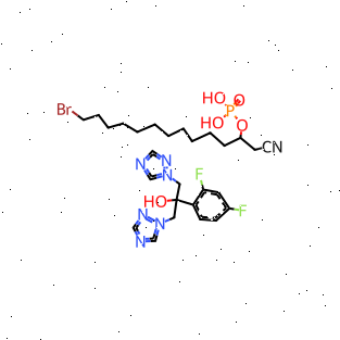 N#CCC(CCCCCCCCCCCBr)OP(=O)(O)O.OC(Cn1cncn1)(Cn1cncn1)c1ccc(F)cc1F